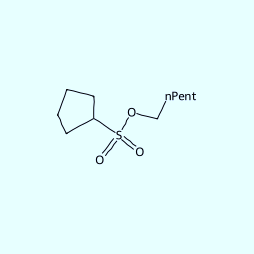 CCCCCCOS(=O)(=O)C1CCCC1